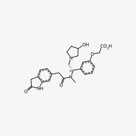 CN(C(=O)Cc1ccc2c(c1)NC(=O)C2)[C@H](CN1CCC(O)C1)c1cccc(OCC(=O)O)c1